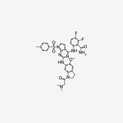 COc1cc2c(cc1Nc1nc(Nc3ccc(F)c(F)c3C(N)=O)c3ccn(S(=O)(=O)c4ccc(C)cc4)c3n1)N(C(=O)CN(C)C)CC2